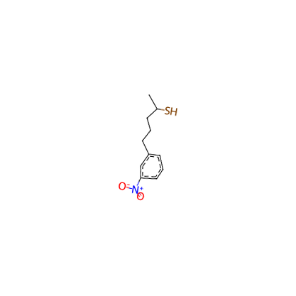 CC(S)CCCc1cccc([N+](=O)[O-])c1